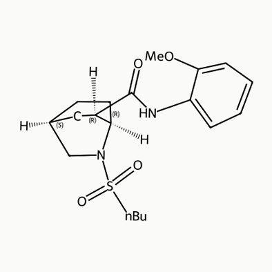 CCCCS(=O)(=O)N1C[C@H]2CC[C@@H]1[C@H](C(=O)Nc1ccccc1OC)C2